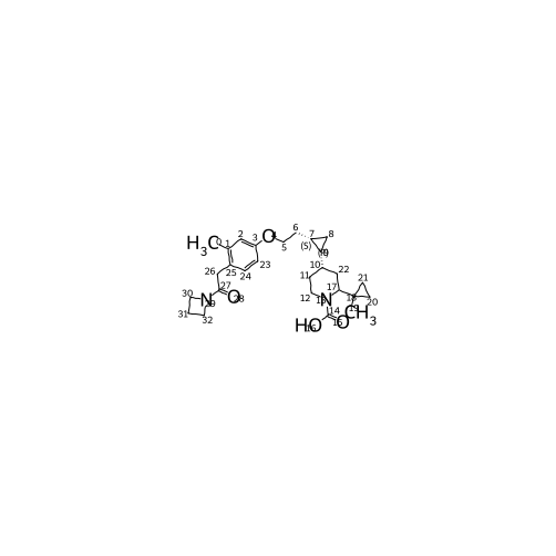 Cc1cc(OCC[C@@H]2C[C@@H]2C2CCN(C(=O)O)C(C3(C)CC3)C2)ccc1CC(=O)N1CCC1